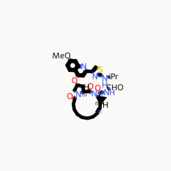 COc1ccc2c(O[C@@H]3C[C@H]4C(=O)N[C@]5(C(=O)NC=O)C[C@H]5/C=C\CCCCCCC(=O)N4C3)cc(-c3csc(NC(C)C)n3)nc2c1